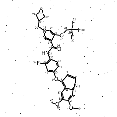 COc1cc2nccc(Oc3ccc(NC(=O)c4nn(CC5COC5)cc4OCC(F)(F)F)c(F)c3)c2cc1OC